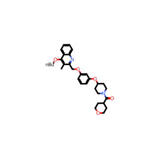 CCCCOc1c(C)c(COc2cccc(OC3CCN(C(=O)C4CCOCC4)CC3)c2)nc2ccccc12